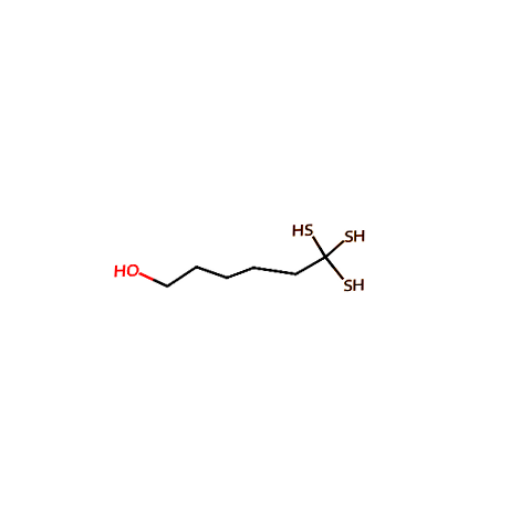 OCCCCCC(S)(S)S